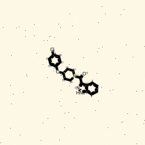 O=C(c1n[nH]c2ccccc12)N1CCC(Oc2ccc(Cl)cc2)CC1